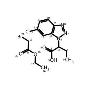 CCC(C(=O)O)n1nnc2ccc(Cl)cc21.CCOC(=O)CBr